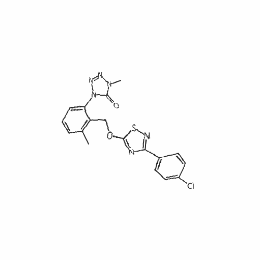 Cc1cccc(-n2nnn(C)c2=O)c1COc1nc(-c2ccc(Cl)cc2)ns1